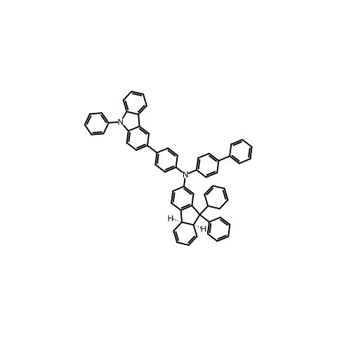 C1=CCC(C2(c3ccccc3)c3cc(N(c4ccc(-c5ccccc5)cc4)c4ccc(-c5ccc6c(c5)c5ccccc5n6-c5ccccc5)cc4)ccc3[C@@H]3C=CC=C[C@@H]32)C=C1